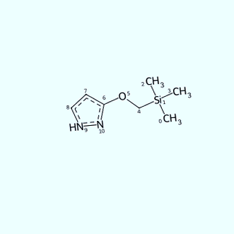 C[Si](C)(C)COc1cc[nH]n1